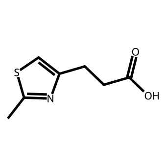 Cc1nc(CCC(=O)O)cs1